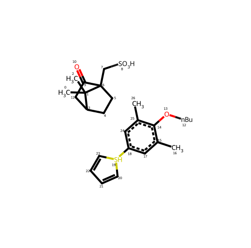 CC1(C)C2CCC1(CS(=O)(=O)O)C(=O)C2.CCCCOc1c(C)cc([SH]2C=CC=C2)cc1C